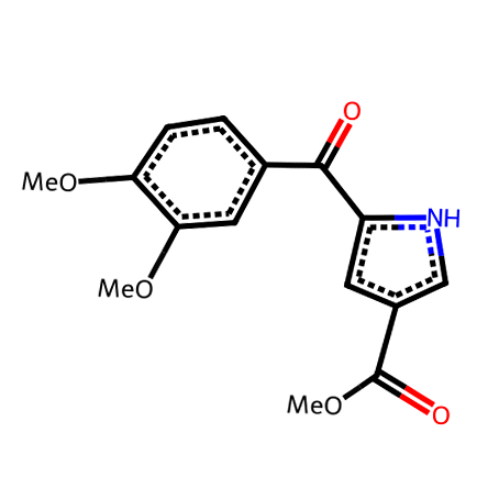 COC(=O)c1c[nH]c(C(=O)c2ccc(OC)c(OC)c2)c1